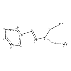 CC(C)C[C@@H](CF)/N=C/c1ccccc1